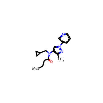 CSCCC(=O)N(CC1CC1)c1cn(-c2cccnc2)nc1C